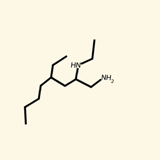 CCCCC(CC)CC(CN)NCC